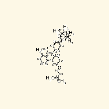 CC/C(=C(/c1ccc(OCCN(C)C)cc1)c1ccc(B2OC(C)(C)C(C)(C)O2)cc1)c1ccccc1